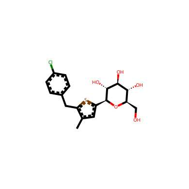 Cc1cc([C@@H]2O[C@H](CO)[C@@H](O)[C@H](O)[C@H]2O)sc1Cc1ccc(Cl)cc1